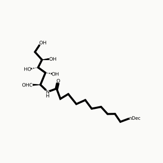 CCCCCCCCCCCCCCCCCCCC(=O)N[C@@H](C=O)[C@@H](O)[C@H](O)[C@H](O)CO